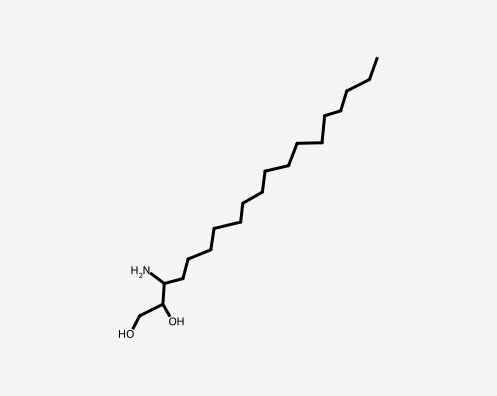 CCCCCCCCCCCCCCCCC(N)C(O)CO